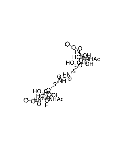 CC(=O)N[C@H]1[C@H]([C@H](O)[C@H](O)CNC(=O)c2ccc(-c3ccccc3)cc2)O[C@@](OCCCSCCNC(=O)C#CC(=O)NCCSCCCO[C@]2(C(=O)O)C[C@H](O)[C@@H](NC(C)=O)[C@H]([C@H](O)[C@H](O)CNC(=O)c3ccc(-c4ccccc4)cc3)O2)(C(=O)O)C[C@@H]1O